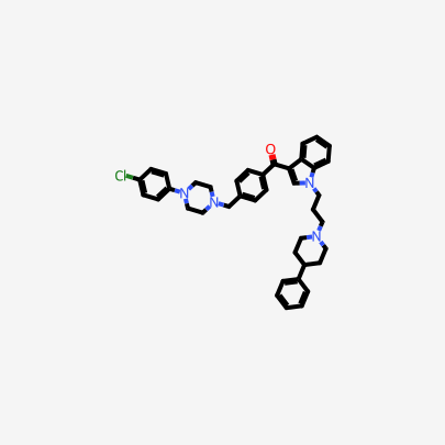 O=C(c1ccc(CN2CCN(c3ccc(Cl)cc3)CC2)cc1)c1cn(CCCN2CCC(c3ccccc3)CC2)c2ccccc12